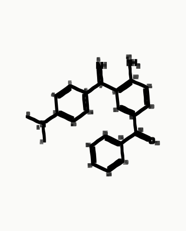 CN(C)c1ccc(C(=N)c2cc(C(=O)c3ccccc3)ccc2N)cc1